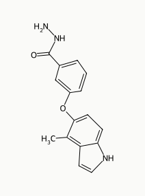 Cc1c(Oc2cccc(C(=O)NN)c2)ccc2[nH]ccc12